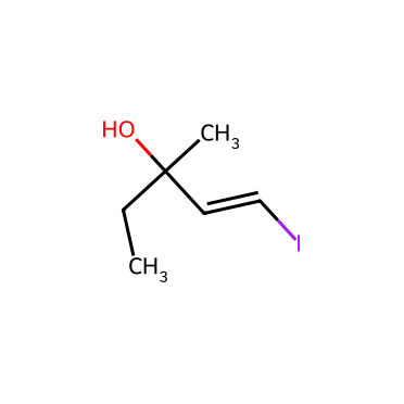 CCC(C)(O)C=CI